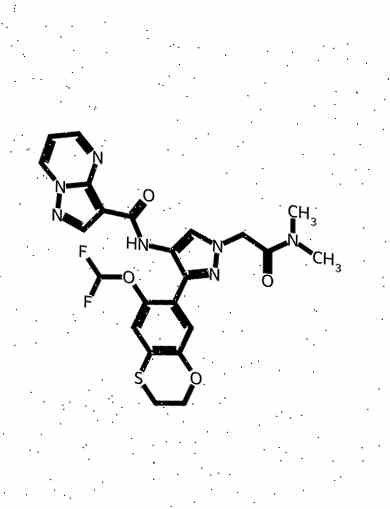 CN(C)C(=O)Cn1cc(NC(=O)c2cnn3cccnc23)c(-c2cc3c(cc2OC(F)F)SCCO3)n1